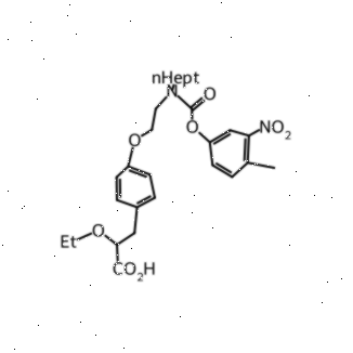 CCCCCCCN(CCOc1ccc(CC(OCC)C(=O)O)cc1)C(=O)Oc1ccc(C)c([N+](=O)[O-])c1